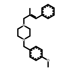 COc1ccc(CN2CCN(CC(C)=Cc3ccccc3)CC2)cc1